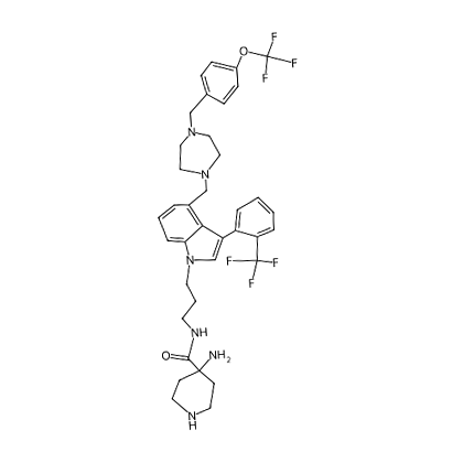 NC1(C(=O)NCCCn2cc(-c3ccccc3C(F)(F)F)c3c(CN4CCN(Cc5ccc(OC(F)(F)F)cc5)CC4)cccc32)CCNCC1